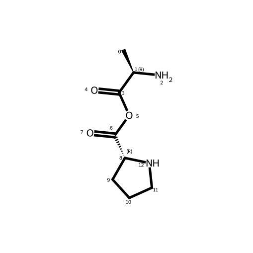 C[C@@H](N)C(=O)OC(=O)[C@H]1CCCN1